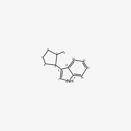 CC1CCCC1c1c[nH]c2ccccc12